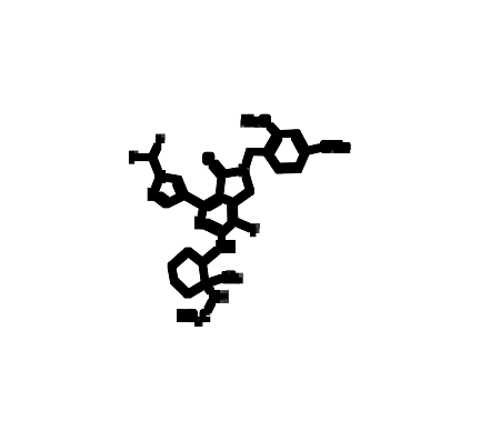 COc1ccc(CN2Cc3c(F)c(NC4CCCCC4(NC(=O)O)C(C)(C)C)nc(-c4cnn(C(F)F)c4)c3C2=O)c(OC)c1